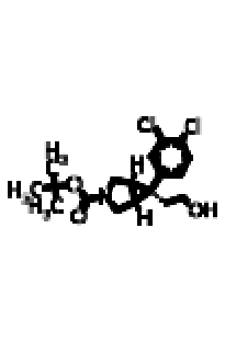 CC(C)(C)OC(=O)N1C[C@@H]2[C@H](C1)[C@@]2(CCO)c1ccc(Cl)c(Cl)c1